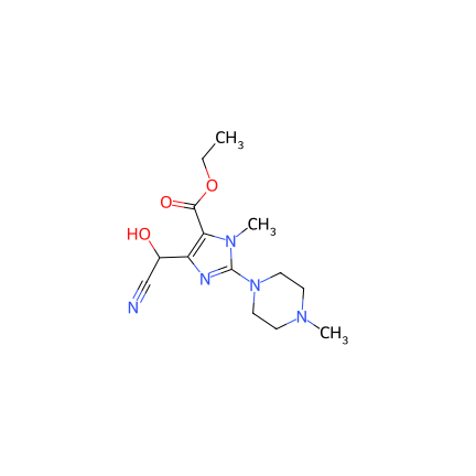 CCOC(=O)c1c(C(O)C#N)nc(N2CCN(C)CC2)n1C